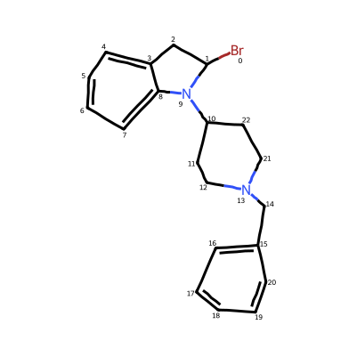 BrC1Cc2ccccc2N1C1CCN(Cc2ccccc2)CC1